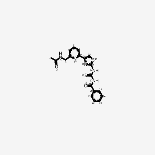 CC(=O)NCc1cccc(-c2csc(NC(=S)NC(=O)c3ccccc3)n2)n1